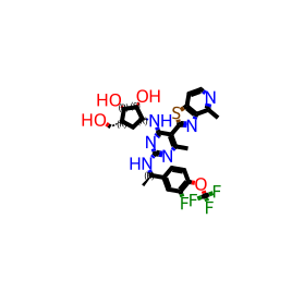 Cc1nc(N[C@H](C)c2ccc(OC(F)(F)F)c(F)c2)nc(N[C@@H]2C[C@H](CO)[C@@H](O)[C@H]2O)c1-c1nc2c(C)nccc2s1